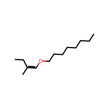 CCCCCCCCOC=C(C)CC